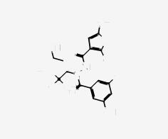 CCC[C@H](N(NC(=O)c1cc(C)oc1C)C(=O)c1cc(C)cc(C)c1)C(C)(C)C